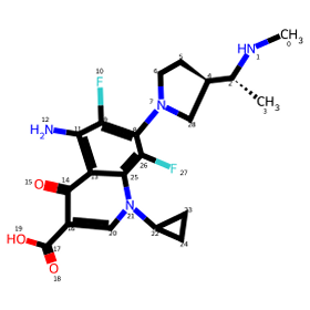 CN[C@H](C)[C@@H]1CCN(c2c(F)c(N)c3c(=O)c(C(=O)O)cn(C4CC4)c3c2F)C1